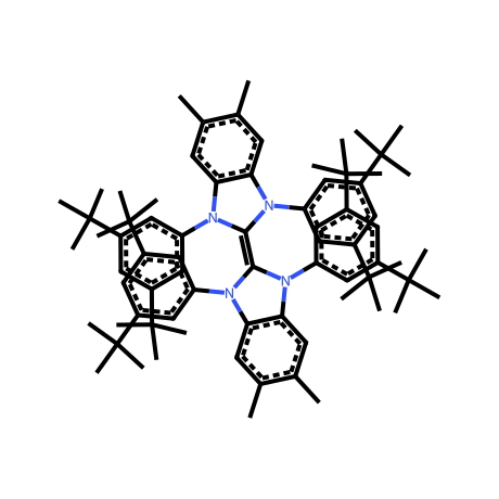 Cc1cc2c(cc1C)N(c1cc(C(C)(C)C)cc(C(C)(C)C)c1)C(=C1N(c3cc(C(C)(C)C)cc(C(C)(C)C)c3)c3cc(C)c(C)cc3N1c1cc(C(C)(C)C)cc(C(C)(C)C)c1)N2c1cc(C(C)(C)C)cc(C(C)(C)C)c1